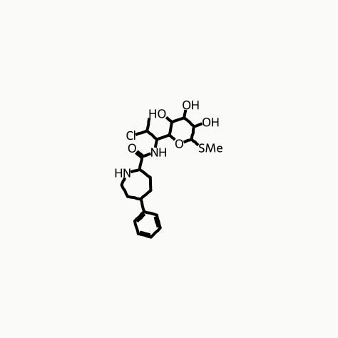 CSC1OC(C(NC(=O)C2CCC(c3ccccc3)CCN2)C(C)Cl)C(O)C(O)C1O